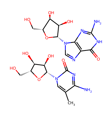 Cc1cn([C@@H]2O[C@H](CO)[C@@H](O)[C@H]2O)c(=O)nc1N.Nc1nc2c(ncn2[C@@H]2O[C@H](CO)[C@@H](O)[C@H]2O)c(=O)[nH]1